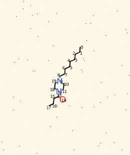 CCCCCCCCCN1CCN(C(=O)CCC)CC1